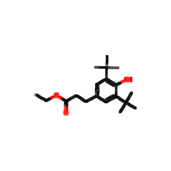 [CH2]COC(=O)CCc1cc(C(C)(C)C)c(O)c(C(C)(C)C)c1